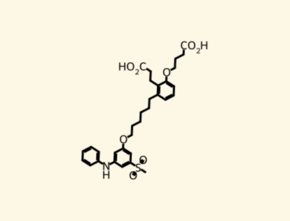 CS(=O)(=O)c1cc(Nc2ccccc2)cc(OCCCCCCc2cccc(OCCCC(=O)O)c2CCC(=O)O)c1